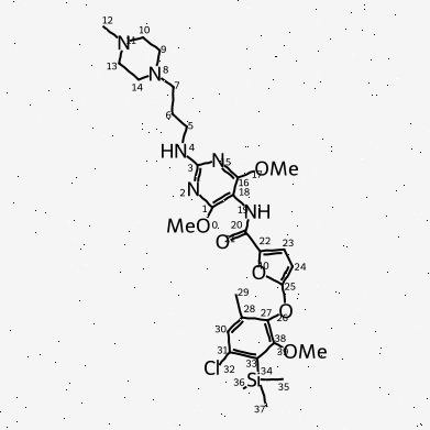 COc1nc(NCCCN2CCN(C)CC2)nc(OC)c1NC(=O)c1ccc(Oc2c(C)cc(Cl)c([Si](C)(C)C)c2OC)o1